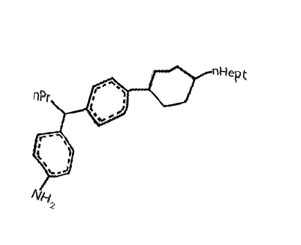 CCCCCCCC1CCC(c2ccc(C(CCC)c3ccc(N)cc3)cc2)CC1